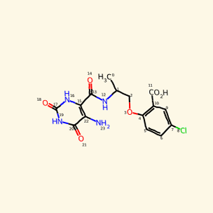 CC(COc1ccc(Cl)cc1C(=O)O)NC(=O)c1[nH]c(=O)[nH]c(=O)c1N